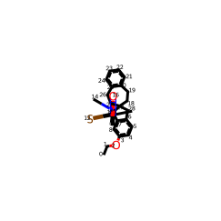 CCOc1ccc2c(c1)C1(NC(=S)N(C)C1=O)C1(CCc3ccccc3CC1)C2